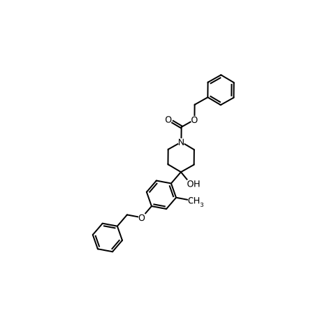 Cc1cc(OCc2ccccc2)ccc1C1(O)CCN(C(=O)OCc2ccccc2)CC1